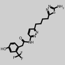 Nc1nnc(CCCCc2ccc(NC(=O)Cc3ccc(O)cc3C(F)(F)F)nn2)s1